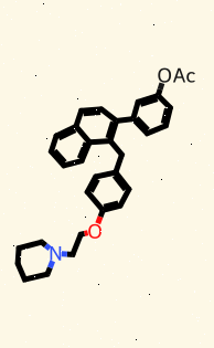 CC(=O)Oc1cccc(-c2ccc3ccccc3c2Cc2ccc(OCCN3CCCCC3)cc2)c1